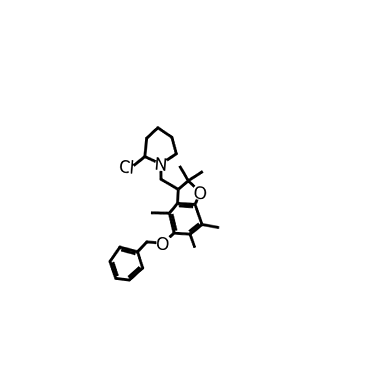 Cc1c(C)c2c(c(C)c1OCc1ccccc1)C(CN1CCCCC1Cl)C(C)(C)O2